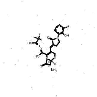 N[C@@H]1C(=O)N2C(C(=O)O)=C(C=C3CCN(c4cccc(F)c4O)C3=O)CS[C@H]12.O=C(O)C(F)(F)F